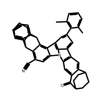 Cc1cccc(C)c1-c1cc2c3cc4c(cc3n3c5cc(C#N)c6c(c5c(c1)c23)C1c2ccccc2C6c2ccccc21)C(=O)C1CCC4CC1